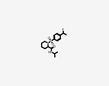 CC(C)NC(=O)C1CCCCN1S(=O)(=O)c1ccc(C(F)F)cc1